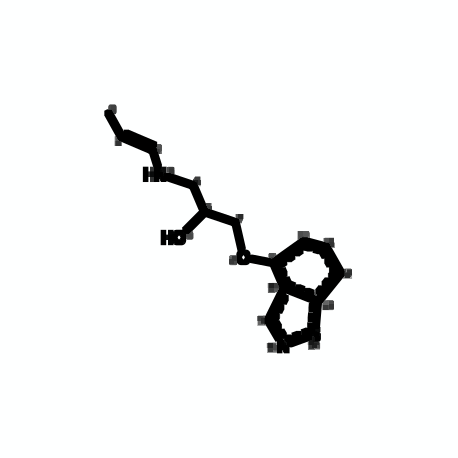 CC=CNCC(O)COc1cccc2sncc12